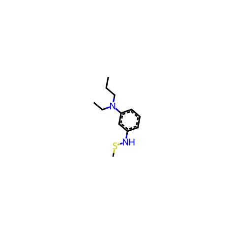 CCCN(CC)c1cccc(NSC)c1